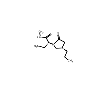 CCC[C@@H]1CC(=O)N([C@@H](CC)C(=O)NC)C1